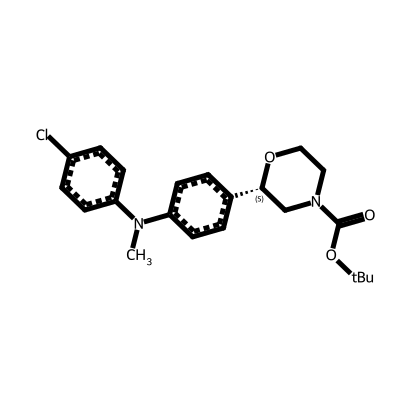 CN(c1ccc(Cl)cc1)c1ccc([C@H]2CN(C(=O)OC(C)(C)C)CCO2)cc1